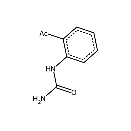 CC(=O)c1ccccc1NC(N)=O